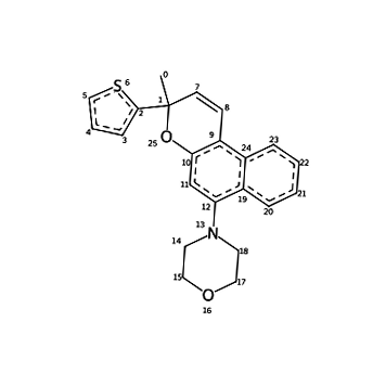 CC1(c2cccs2)C=Cc2c(cc(N3CCOCC3)c3ccccc23)O1